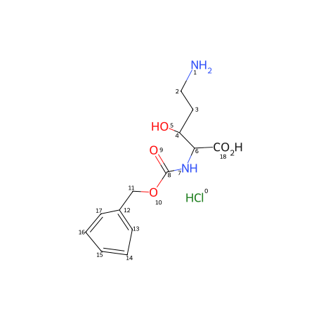 Cl.NCCC(O)C(NC(=O)OCc1ccccc1)C(=O)O